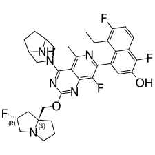 CCc1c(F)ccc2c(F)c(O)cc(-c3nc(C)c4c(N5CC6CCC(C5)N6)nc(OC[C@@]56CCCN5C[C@H](F)C6)nc4c3F)c12